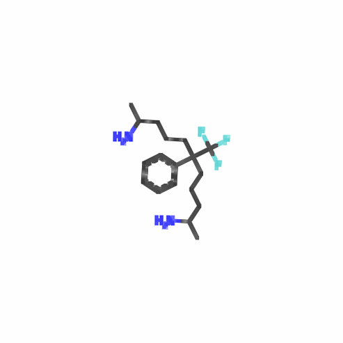 CC(N)CCCC(CCCC(C)N)(c1ccccc1)C(F)(F)F